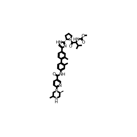 COC(=O)NC(C(=O)N1CCC[C@H]1c1nc(-c2ccc(-c3ccc(NC(=O)c4ccc(N5CC(C)NC[C@@H]5C)nc4)cc3C)c(C)c2)c[nH]1)C(C)C